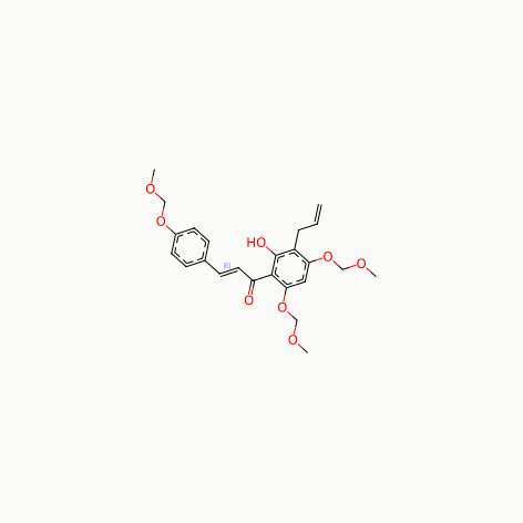 C=CCc1c(OCOC)cc(OCOC)c(C(=O)/C=C/c2ccc(OCOC)cc2)c1O